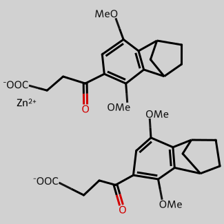 COc1cc(C(=O)CCC(=O)[O-])c(OC)c2c1C1CCC2C1.COc1cc(C(=O)CCC(=O)[O-])c(OC)c2c1C1CCC2C1.[Zn+2]